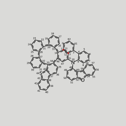 c1ccc(-c2ccccc2N(c2ccc3c4ccccc4c4ccccc4c4ccccc4c4c(ccc5c6ccccc6sc54)c3c2)c2cccc3oc4ccccc4c23)cc1